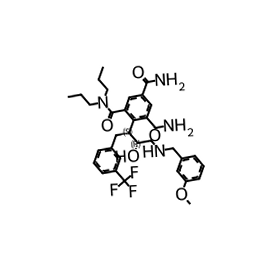 CCCN(CCC)C(=O)c1cc(C(N)=O)cc(C(N)=O)c1[C@H](Cc1cccc(C(F)(F)F)c1)[C@@H](O)CNCc1cccc(OC)c1